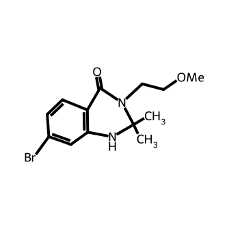 COCCN1C(=O)c2ccc(Br)cc2NC1(C)C